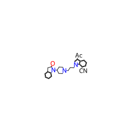 CC(=O)c1cn(CCCN2CCC(N3C(=O)Cc4ccccc43)CC2)c2c(C#N)cccc12